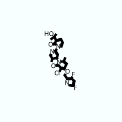 Cc1cc(OCc2ncc(F)cc2F)c(Cl)c(=O)n1C1C=C(n2cccc(C(C)(C)O)c2=O)N=CC1C